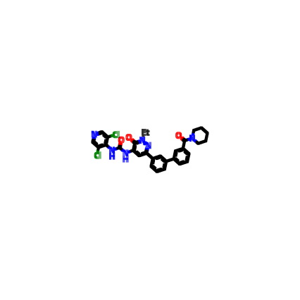 CCn1nc(-c2cccc(-c3cccc(C(=O)N4CCCCC4)c3)c2)cc(NC(=O)Nc2c(Cl)cncc2Cl)c1=O